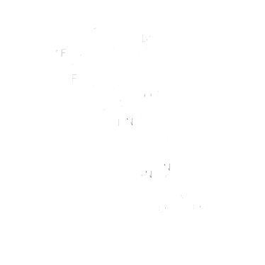 O=C(O)Cn1ncc2c1CCCC2NS(=O)(=O)c1cc(Br)cc(C(F)(F)F)c1